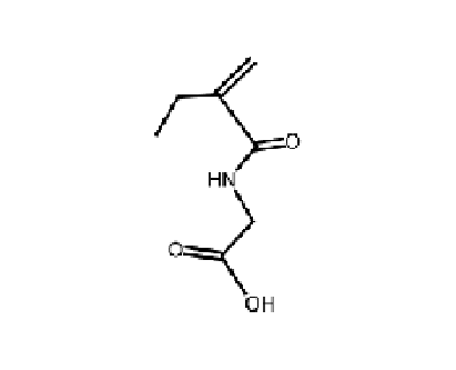 C=C(CC)C(=O)NCC(=O)O